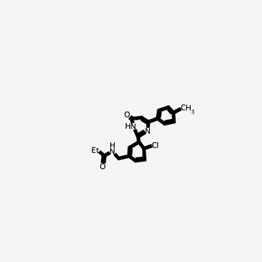 CCC(=O)NCC1=CC(c2nc(-c3ccc(C)cc3)cc(=O)[nH]2)C(Cl)C=C1